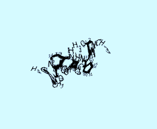 Cc1cn(C)nc1C(Nc1c(Nc2ccnc(C(=O)N(C)C)c2O)c(=O)c1=O)C1(C)CC=CC1